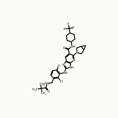 CC(C)(C)C(=O)NCc1ccc(Cl)c(Nc2nc3cc(C(=O)NC4CCC(C(F)(F)F)CC4)c(N4CC5CC5C4)nc3[nH]2)c1Cl